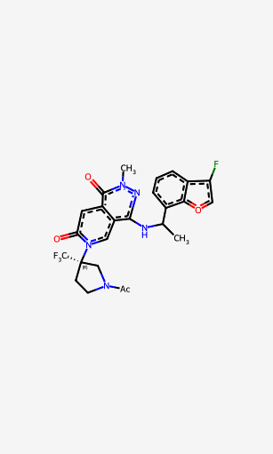 CC(=O)N1CC[C@](n2cc3c(NC(C)c4cccc5c(F)coc45)nn(C)c(=O)c3cc2=O)(C(F)(F)F)C1